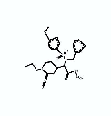 CCON1CCC([C@H](C(=O)NO)N(Cc2ccncc2)S(=O)(=O)c2ccc(OC)cc2)CC1=C=O.Cl